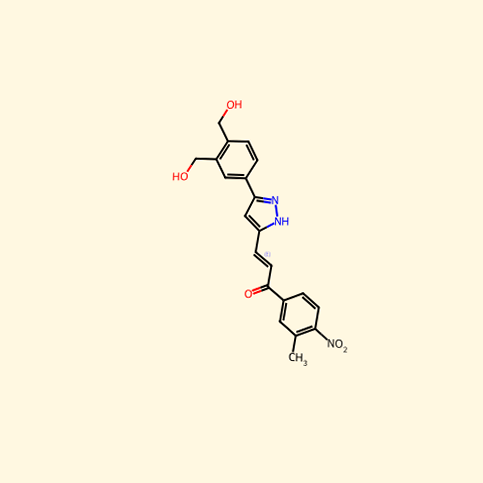 Cc1cc(C(=O)/C=C/c2cc(-c3ccc(CO)c(CO)c3)n[nH]2)ccc1[N+](=O)[O-]